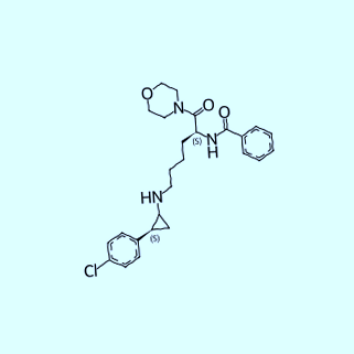 O=C(N[C@@H](CCCCNC1C[C@H]1c1ccc(Cl)cc1)C(=O)N1CCOCC1)c1ccccc1